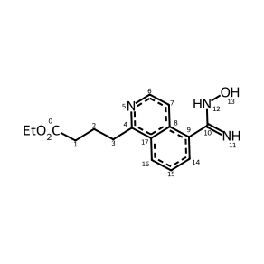 CCOC(=O)CCCc1nccc2c(C(=N)NO)cccc12